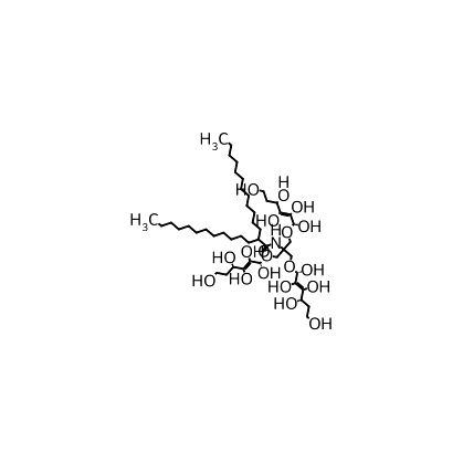 CCCCCCCCCCCCC(CCCCCCCCCCCC)C(=O)NC(CO[C@H](O)/C(O)=C(\O)[C@H](O)CCO)(CO[C@H](O)/C(O)=C(\O)[C@H](O)CCO)CO[C@H](O)/C(O)=C(\O)[C@H](O)CCO